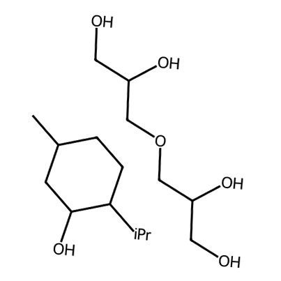 CC1CCC(C(C)C)C(O)C1.OCC(O)COCC(O)CO